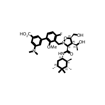 COc1c(-c2cc(C(=O)O)cc(N(C)C)c2)ccc(F)c1CN1O[C@@H](CO)[C@@H]([C@H](C)O)[C@H]1C(=O)N[C@H]1C[C@@H](C)C(C)(C)[C@@H](C)[C@@H]1C